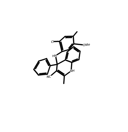 COc1cc(NC2(c3ccccc3)C(C#N)=C(C)Nc3ccccc32)c(Cl)cc1C